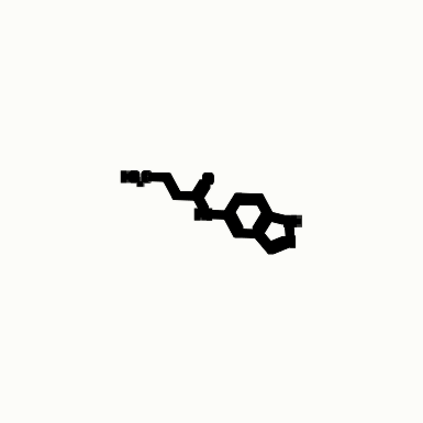 O=C(O)CCC(=O)Nc1ccc2[nH]ncc2c1